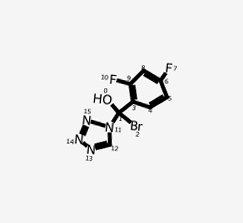 OC(Br)(c1ccc(F)cc1F)n1cnnn1